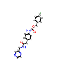 O=C(Cc1ccc(NC(=O)OCc2ccc(Cl)cc2)cc1)NCc1cnccn1